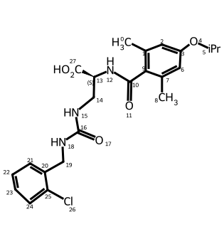 Cc1cc(OC(C)C)cc(C)c1C(=O)N[C@@H](CNC(=O)NCc1ccccc1Cl)C(=O)O